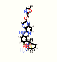 Cc1cnc(COc2cnc3c(Nc4ccc(F)c([C@@]5(C)N=C(N)[C@@]6(C)CC[C@@H]5S6(O)O)c4)nccc3n2)o1